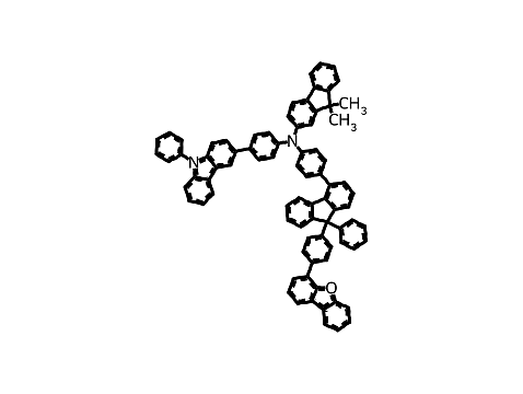 CC1(C)c2ccccc2-c2ccc(N(c3ccc(-c4ccc5c(c4)c4ccccc4n5-c4ccccc4)cc3)c3ccc(-c4cccc5c4-c4ccccc4C5(c4ccccc4)c4ccc(-c5cccc6c5oc5ccccc56)cc4)cc3)cc21